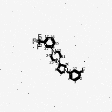 Fc1cccc(N2CCC(N3CCN(c4cccc(C(F)(F)F)c4)CC3)C2)c1